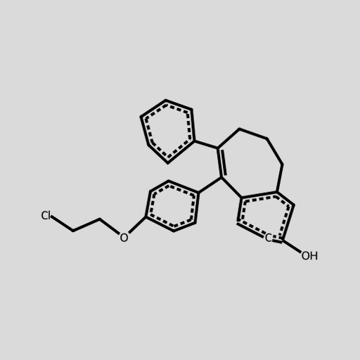 Oc1ccc2c(c1)CCCC(c1ccccc1)=C2c1ccc(OCCCl)cc1